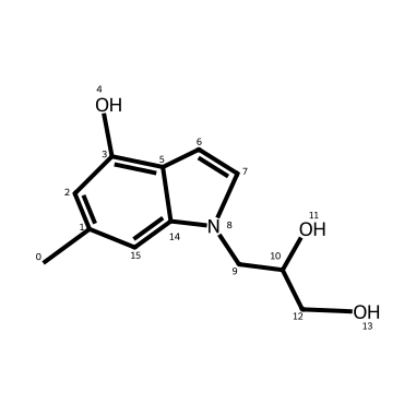 Cc1cc(O)c2ccn(CC(O)CO)c2c1